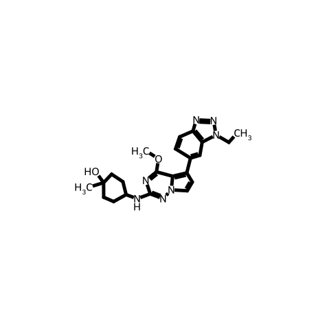 CCn1nnc2ccc(-c3ccn4nc(NC5CCC(C)(O)CC5)nc(OC)c34)cc21